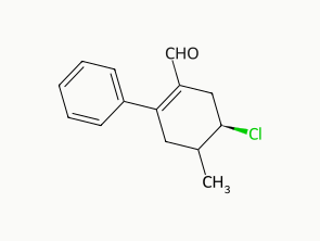 CC1CC(c2ccccc2)=C(C=O)C[C@H]1Cl